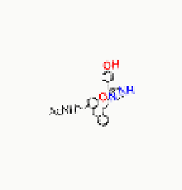 CC(=O)NCCc1ccccc1Cc1ccccc1CCC(=O)N1CCNC[C@H]1Cc1ccc(O)cc1